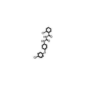 O=C(NC(=O)c1ccccc1Cl)Nc1ccc(Sc2ccc(Cl)cc2)cc1